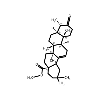 COC(=O)[C@]12CCC(C)(C)CC1C1=CC[C@@H]3[C@@]4(C)CCC(=O)[C@@H](C)[C@@H]4CC[C@@]3(C)[C@]1(C)CC2